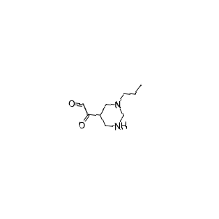 CCCN1CNCC(C(=O)C=O)C1